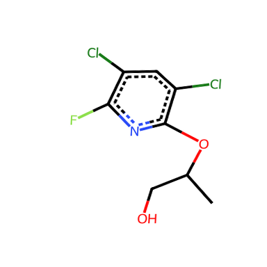 CC(CO)Oc1nc(F)c(Cl)cc1Cl